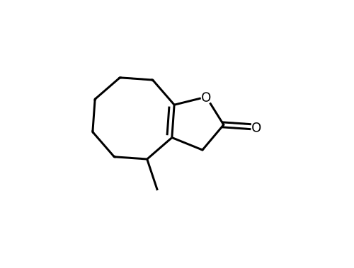 CC1CCCCCC2=C1CC(=O)O2